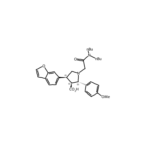 CCCCN(CCCC)C(=O)CN1C[C@H](c2ccc3ccoc3c2)[C@H](C(=O)O)[C@H]1c1ccc(OC)cc1